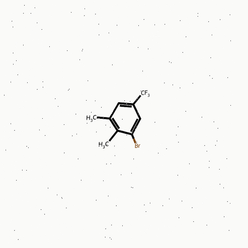 Cc1cc(C(F)(F)F)cc(Br)c1C